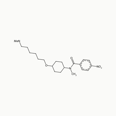 CNCCCCCCOC1CCC(N(C)C(=O)c2ccc([N+](=O)[O-])cc2)CC1